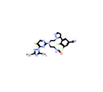 Cc1nc(C)n(-c2nc(N(CCNC=O)CCN3N=CCC3c3cc(C#N)cc(F)c3F)ncc2F)n1